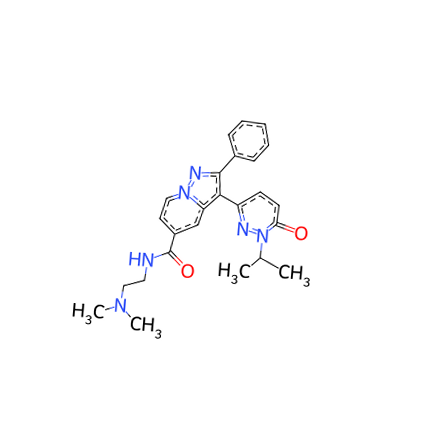 CC(C)n1nc(-c2c(-c3ccccc3)nn3ccc(C(=O)NCCN(C)C)cc23)ccc1=O